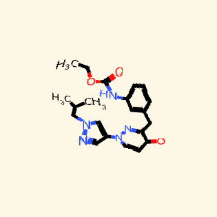 CCOC(=O)Nc1cccc(Cc2nn(-c3cnn(CC(C)C)c3)ccc2=O)c1